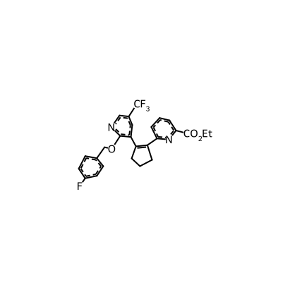 CCOC(=O)c1cccc(C2=C(c3cc(C(F)(F)F)cnc3OCc3ccc(F)cc3)CCC2)n1